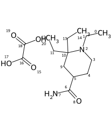 CCN1CCC(C(N)=O)CC1(CC)CC.O=C(O)C(=O)O